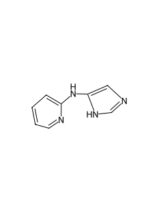 c1ccc(Nc2cnc[nH]2)nc1